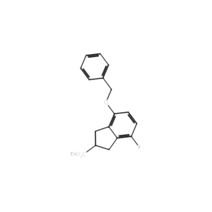 CCOC(=O)C1Cc2c(F)ccc(OCc3ccccc3)c2C1